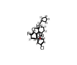 O=S(=O)(c1ccc(Cl)cc1)[C@]12CCCN(CC3CCCC3)[C@H]1COc1c(F)ccc(F)c12